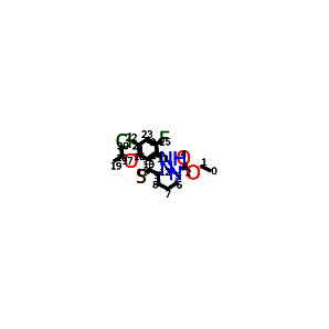 CCOC(=O)N1CCCC(C=S)N1Nc1cc(OC(C)C)c(Cl)cc1F